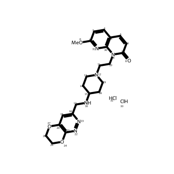 COc1ccc2ccc(=O)n(CCN3CCC(NCc4cc5c(nn4)OCCO5)CC3)c2n1.Cl.Cl